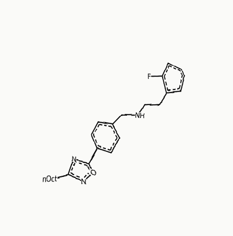 CCCCCCCCc1noc(-c2ccc(CNCCc3ccccc3F)cc2)n1